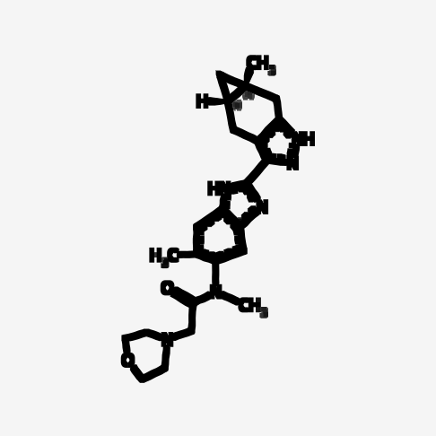 Cc1cc2[nH]c(-c3n[nH]c4c3C[C@@H]3C[C@]3(C)C4)nc2cc1N(C)C(=O)CN1CCOCC1